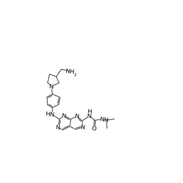 CC(C)NC(=O)Nc1ncc2cnc(Nc3ccc(N4CCC(CN)C4)cc3)nc2n1